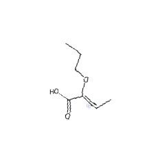 C/C=C(\OCCC)C(=O)O